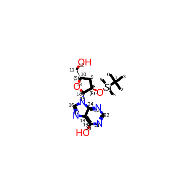 CC(C)(C)[Si](C)(C)O[C@@H]1C[C@@H](CO)O[C@H]1n1cnc2c(O)ncnc21